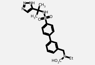 CCN(Cc1cccc(-c2ccc(S(=O)(=O)NC(C)(C)c3cnn[nH]3)cc2)c1)C(=O)O